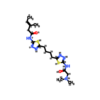 C/C=C(\C)CC(=O)Nc1nnc(CCCCc2nnc(NC(=O)CN(C)C)s2)s1